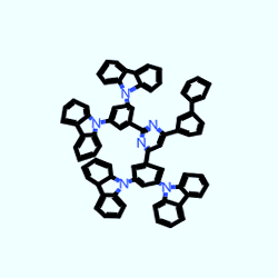 C1=CC2c3ccccc3N(c3cc(-c4cc(-c5cccc(-c6ccccc6)c5)nc(-c5cc(-n6c7ccccc7c7ccccc76)cc(-n6c7ccccc7c7ccccc76)c5)n4)cc(-n4c5ccccc5c5ccccc54)c3)C2C=C1